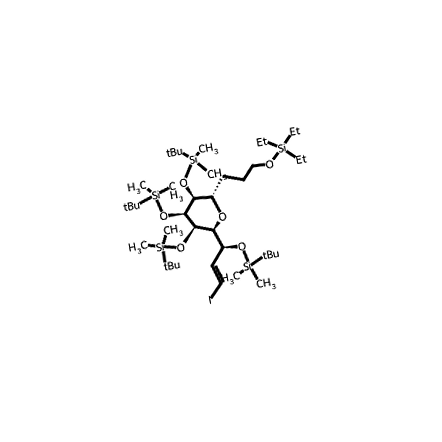 CC[Si](CC)(CC)OCCC[C@@H]1O[C@@H]([C@H](/C=C/I)O[Si](C)(C)C(C)(C)C)[C@@H](O[Si](C)(C)C(C)(C)C)[C@@H](O[Si](C)(C)C(C)(C)C)[C@H]1O[Si](C)(C)C(C)(C)C